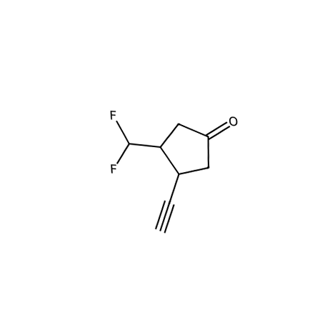 C#CC1CC(=O)CC1C(F)F